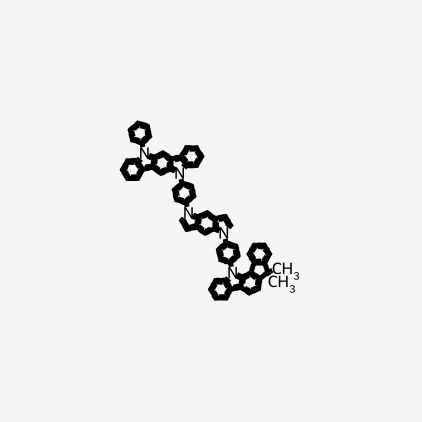 CC1(C)c2ccccc2-c2c1ccc1c3ccccc3n(-c3ccc(-n4ccc5cc6c(ccn6-c6ccc(-n7c8ccccc8c8cc9c(cc87)c7ccccc7n9-c7ccccc7)cc6)cc54)cc3)c21